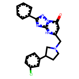 O=c1cc(CN2CCC(c3cccc(Cl)c3)C2)[nH]c2nc(-c3ccccc3)nn12